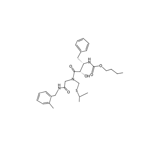 CCCCOC(=O)N[C@@H](Cc1ccccc1)[C@H](O)C(=O)N(CSC(C)C)CC(=O)NCc1ccccc1C